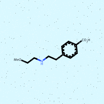 COCCNCCc1ccc(C(=O)O)cc1